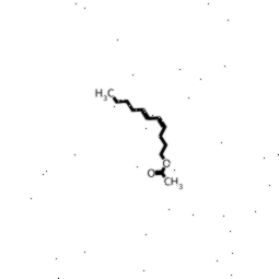 CCCC/C=C/C=C\CCCOC(C)=O